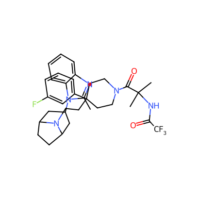 Cc1nc2ccccc2n1C1CC2CCC(C1)N2CCC1(c2cccc(F)c2)CCN(C(=O)C(C)(C)NC(=O)C(F)(F)F)CC1